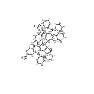 Cc1cccc(N(c2ccccc2)c2cc3c(c4oc5c(c24)C=CCC5)-c2c(cc(N(c4cccc(C)c4)C4CC=CCC4)c4c2oc2ccccc24)C32c3ccccc3Cc3ccccc32)c1